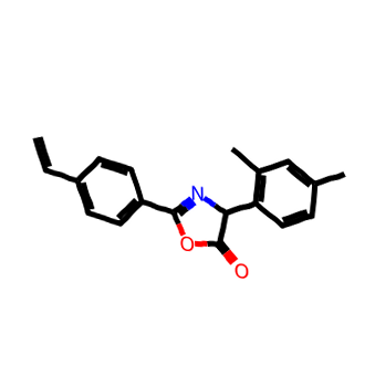 C=Cc1ccc(C2=NC(c3ccc(C)cc3C)C(=O)O2)cc1